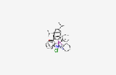 CC(C)c1cc(C(C)C)c(-c2ccccc2[P]([Pd][Cl])(c2ccccc2-c2ccccc2N)(C2CCCCC2)C2CCCCC2)c(C(C)C)c1